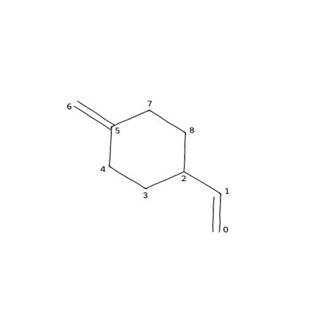 C=CC1CCC(=C)CC1